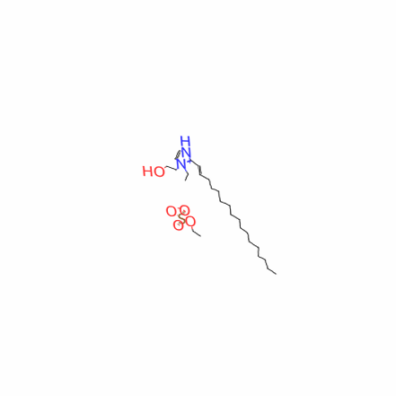 CCCCCCCCCCCCCCCC=CC1NC=C[N+]1(CC)CCO.CCOS(=O)(=O)[O-]